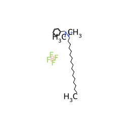 CCCCCCCCCCCCCCCCCC[N+](C)(C)Cc1ccccc1.F[B-](F)(F)F